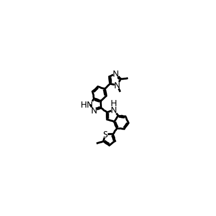 Cc1ccc(-c2cccc3[nH]c(-c4n[nH]c5ccc(-c6cnc(C)n6C)cc45)cc23)s1